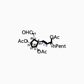 CCCCC[C@H](/C=C/[C@@H]1[C@@H](CC=O)[C@@H](OC(C)=O)C[C@H]1OC(C)=O)OC(C)=O